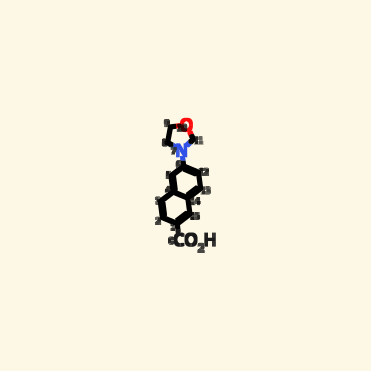 O=C(O)c1ccc2cc(N3CCOC3)ccc2c1